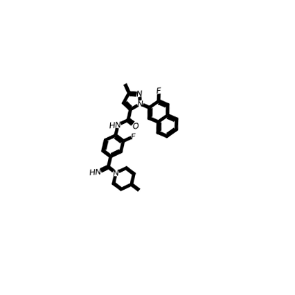 Cc1cc(C(=O)Nc2ccc(C(=N)N3CCC(C)CC3)cc2F)n(-c2cc3ccccc3cc2F)n1